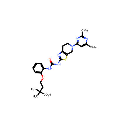 COc1cc(N2CCc3nc(NC(=O)Nc4ccccc4OCCC(C)(C)C(=O)O)sc3C2)nc(OC)n1